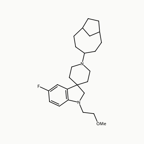 COCCN1CC2(CCN(C3CCC4CCC(CC3)C4)CC2)c2cc(F)ccc21